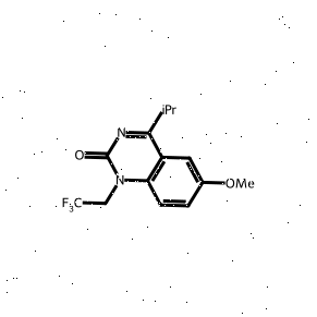 COc1ccc2c(c1)c(C(C)C)nc(=O)n2CC(F)(F)F